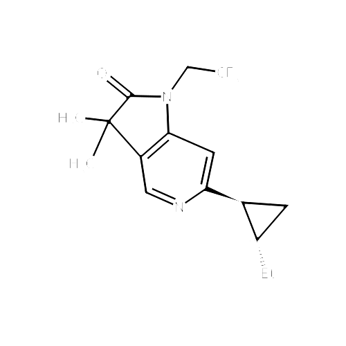 CC[C@H]1C[C@@H]1c1cc2c(cn1)C(C)(C)C(=O)N2CC(F)(F)F